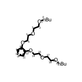 CCCCOCCOCCOc1[c]s[c]c1OCCOCCOCCCC